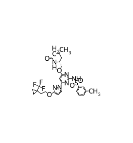 Cc1cccc(S(=O)(=O)Nc2nc(OC[C@@H](CC(C)C)NC=O)cc(-n3ccc(OCCC4(C(F)(F)F)CC4)n3)n2)c1